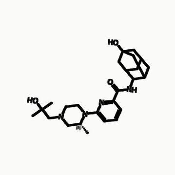 C[C@@H]1CN(CC(C)(C)O)CCN1c1cccc(C(=O)NC2C3CC4CC2CC(O)(C4)C3)n1